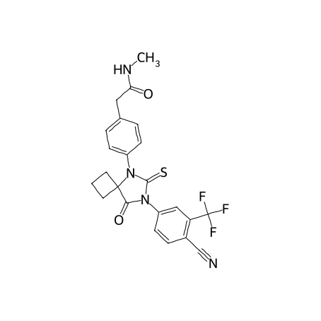 CNC(=O)Cc1ccc(N2C(=S)N(c3ccc(C#N)c(C(F)(F)F)c3)C(=O)C23CCC3)cc1